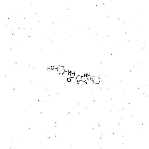 O=C(Nc1ccc(O)cc1)c1cc2c(s1)SC(N1CCCCC1)N2